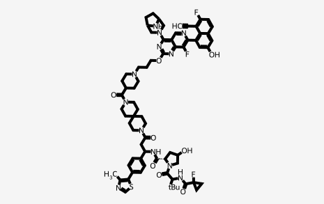 C#Cc1c(F)ccc2cc(O)cc(-c3ncc4c(N5CC6CCC(C5)N6)nc(OCCCN5CCC(C(=O)N6CCC7(CCN(C(=O)CC(NC(=O)[C@@H]8CC(O)CN8C(=O)C(NC(=O)C8(F)CC8)C(C)(C)C)c8ccc(-c9scnc9C)cc8)CC7)CC6)CC5)nc4c3F)c12